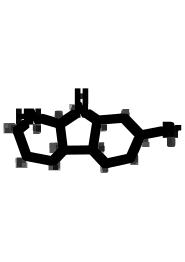 BrC1CCC2C(C1)NC1NCCCC12